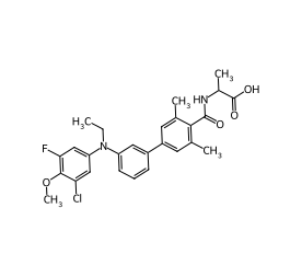 CCN(c1cccc(-c2cc(C)c(C(=O)NC(C)C(=O)O)c(C)c2)c1)c1cc(F)c(OC)c(Cl)c1